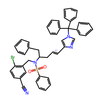 N#Cc1ccc(Br)c(CN(C(C/C=C/c2cn(C(c3ccccc3)(c3ccccc3)c3ccccc3)cn2)Cc2ccccc2)S(=O)(=O)c2ccccc2)c1